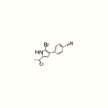 CC(=O)c1cc(-c2ccc(C#N)cc2)c(Br)[nH]1